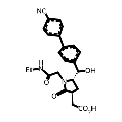 CCNC(=O)CN1C(=O)[C@H](CC(=O)O)C[C@H]1C(O)c1ccc(-c2ccc(C#N)cc2)cc1